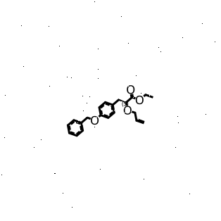 C=CCO[C@@H](Cc1ccc(OCc2ccccc2)cc1)C(=O)OCC